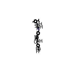 Cc1ccc(C(C)C)c(NC(=S)N/N=C/c2ccc(-n3cc(NC(=O)c4ccc(OC(F)(F)F)cc4)c(C)n3)cc2)c1